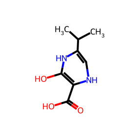 CC(C)C1=CNC(C(=O)O)=C(O)N1